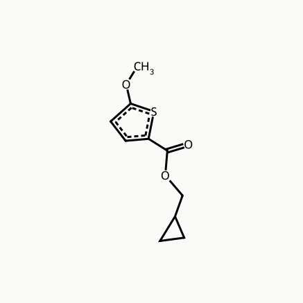 COc1ccc(C(=O)OCC2CC2)s1